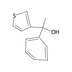 CC(O)(c1ccccc1)c1ccsc1